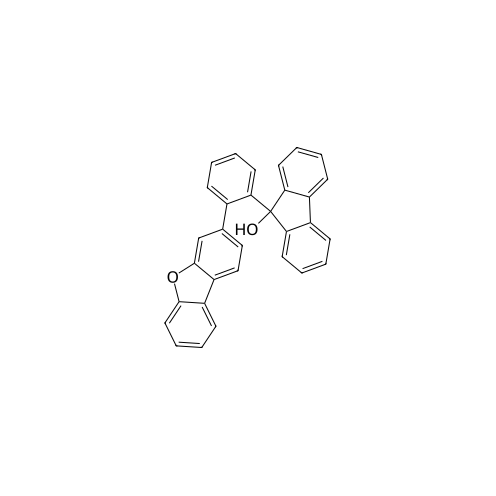 OC1(c2ccccc2-c2ccc3c(c2)oc2ccccc23)c2ccccc2-c2ccccc21